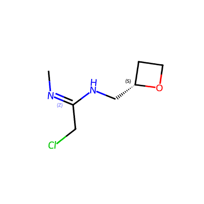 C/N=C(/CCl)NC[C@@H]1CCO1